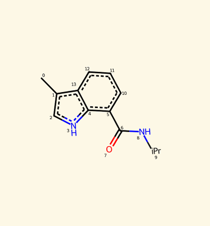 Cc1c[nH]c2c(C(=O)NC(C)C)cccc12